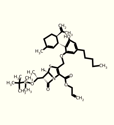 C=CCOC(=O)C1=C(COc2cc(CCCCC)cc(O)c2[C@@H]2C=C(C)CC[C@H]2C(=C)C)S[C@@H]2[C@@H]([C@@H](C)O[Si](C)(C)C(C)(C)C)C(=O)N12